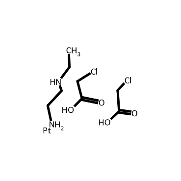 CCNCCN.O=C(O)CCl.O=C(O)CCl.[Pt]